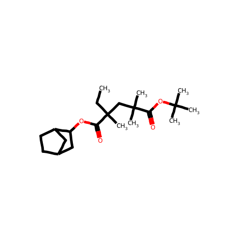 CCC(C)(CC(C)(C)C(=O)OC(C)(C)C)C(=O)OC1CC2CCC1C2